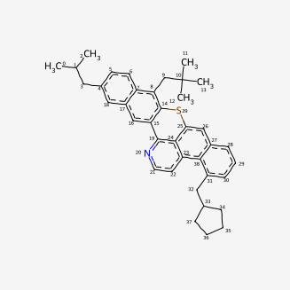 CC(C)Cc1ccc2c(CC(C)(C)C)c3c(cc2c1)-c1nccc2c1c(cc1cccc(CC4CCCC4)c12)S3